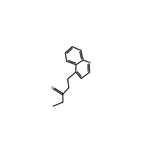 CCC(=S)CCc1ccnc2ccccc12